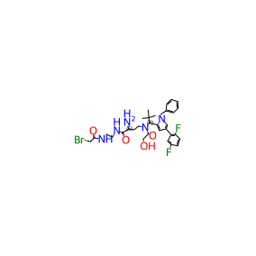 CC(C)(C)[C@H](c1cc(-c2cc(F)ccc2F)cn1Cc1ccccc1)N(CC[C@H](N)C(=O)NCCNC(=O)CBr)C(=O)CO